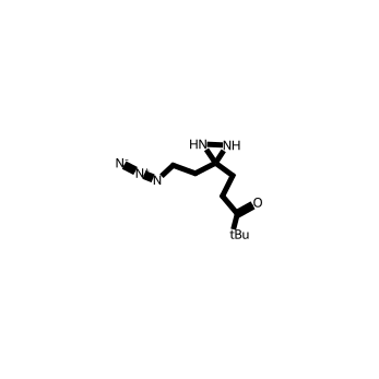 CC(C)(C)C(=O)CCC1(CCN=[N+]=[N-])NN1